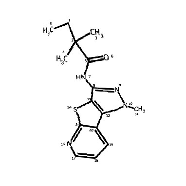 CCC(C)(C)C(=O)Nc1nn(C)c2c1sc1ncccc12